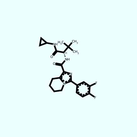 CC(C)(C)[C@H](NC(=O)c1nc(-c2ccc(F)c(F)c2)n2c1CCCC2)C(=O)NC1CC1